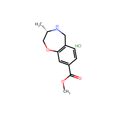 COC(=O)c1ccc2c(c1)OC[C@H](C)NC2.Cl